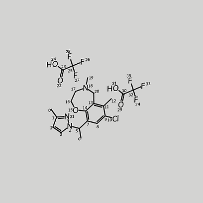 Cc1ccn(C(C)c2cc(Cl)c(C)c3c2OCCN(C)C3)n1.O=C(O)C(F)(F)F.O=C(O)C(F)(F)F